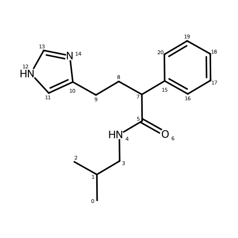 CC(C)CNC(=O)C(CCc1c[nH]cn1)c1ccccc1